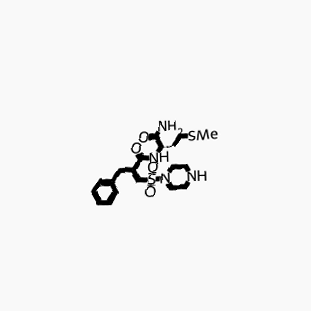 CSCC[C@H](NC(=O)C(Cc1ccccc1)CS(=O)(=O)N1CCNCC1)C(N)=O